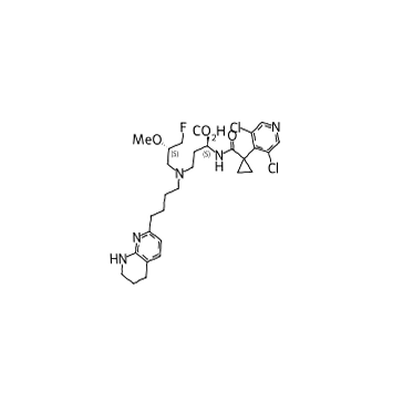 CO[C@H](CF)CN(CCCCc1ccc2c(n1)NCCC2)CC[C@H](NC(=O)C1(c2c(Cl)cncc2Cl)CC1)C(=O)O